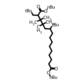 CCCCOC(=O)CCCCCCCCC(CC(C)(C)C(C)(C)C(CC(C)(C)C)C(=O)OCCCC)C(C)(C)C